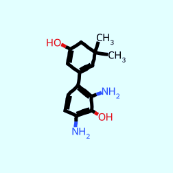 CC1(C)C=C(c2ccc(N)c(O)c2N)C=C(O)C1